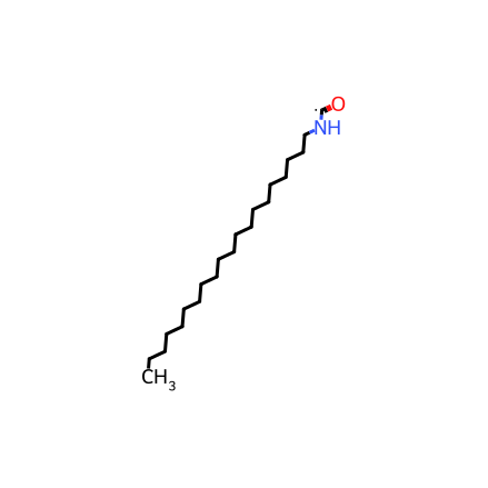 CCCCCCCCCCCCCCCCCCCCN[C]=O